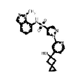 Cn1ncc2cccc(NS(=O)(=O)c3cnn(-c4cc(C5(O)CC6(CC6)C5)ccn4)c3)c21